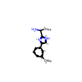 CCCCCCC(N)c1nc(-c2cccc(OC)c2)c[nH]1